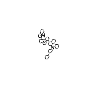 c1ccc(-c2ccc(N(c3ccccc3)c3ccc(-c4cccc5c4oc4cccc(-c6nc7ccccc7o6)c45)c4ccccc34)cc2)cc1